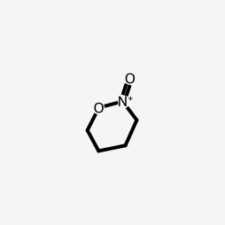 O=[N+]1CCCCO1